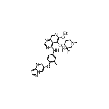 CCOc1ncc2ncnc(Nc3ccc(Oc4cnc5ccnn5c4)c(C)c3)c2c1O[C@@H]1CCN(C)CC1(F)F